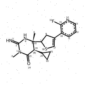 CN1C(=N)N[C@](C)(C2CC(c3cccnc3F)=CS2)[C@@H](C2CC2)C1=O